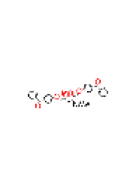 CNC(CC(O)COc1ccc(C(=O)c2ccccc2)cc1)C(O)COc1ccc(C(=O)c2ccccc2)cc1